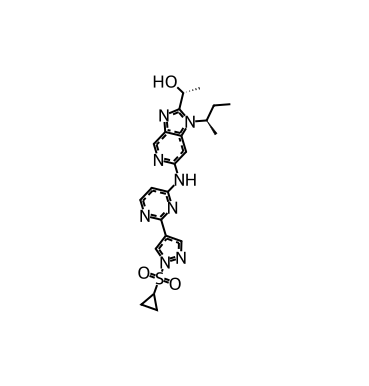 CC[C@@H](C)n1c([C@@H](C)O)nc2cnc(Nc3ccnc(-c4cnn(S(=O)(=O)C5CC5)c4)n3)cc21